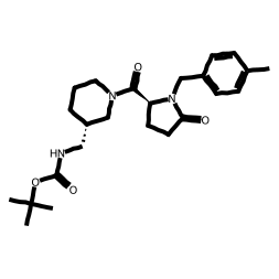 Cc1ccc(CN2C(=O)CC[C@H]2C(=O)N2CCC[C@@H](CNC(=O)OC(C)(C)C)C2)cc1